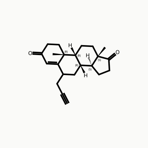 C#CCC1C[C@@H]2[C@@H](CC[C@]3(C)C(=O)CC[C@@H]23)[C@@]2(C)CCC(=O)C=C12